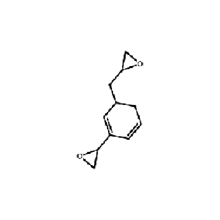 C1=CC(C2CO2)=CC(CC2CO2)C1